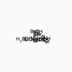 CN1CCC(C2CCN(C(=O)[C@@H](CC(=O)N3CCC(N4Cc5ccccc5NC4=O)CC3)Cc3cc(Br)c(O)c(Br)c3)CC2)CC1